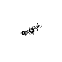 COCCNC(=O)Oc1ccc(NS(=O)(=O)c2ccc(F)cc2)cn1